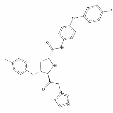 Cc1ccc(C[C@@H]2C[C@H](C(=O)Nc3ccc(Oc4ccc(F)cc4)cc3)N[C@H]2C(=O)Cn2cncn2)cc1